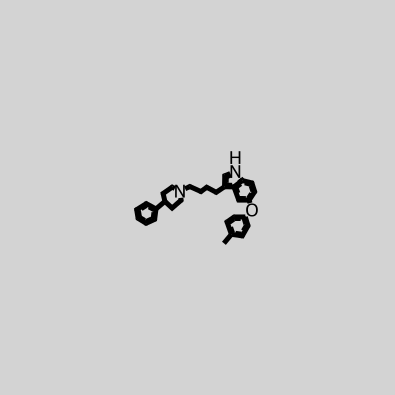 Cc1ccc(Oc2ccc3[nH]cc(CCCCN4CCC(c5ccccc5)CC4)c3c2)cc1